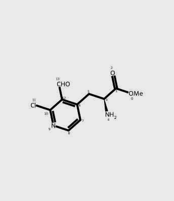 COC(=O)[C@@H](N)Cc1ccnc(Cl)c1C=O